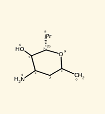 CC1CC(N)C(O)[C@H](C(C)C)O1